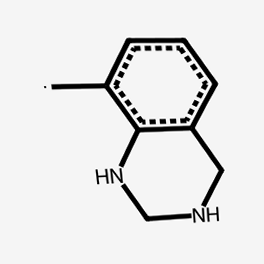 [CH2]c1cccc2c1NCNC2